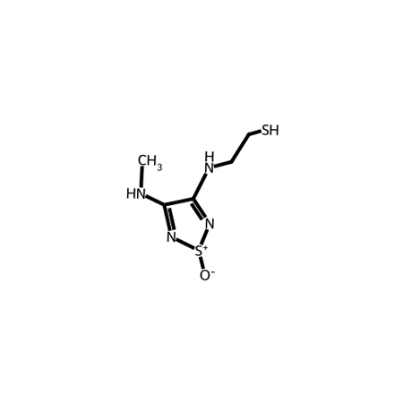 CNc1n[s+]([O-])nc1NCCS